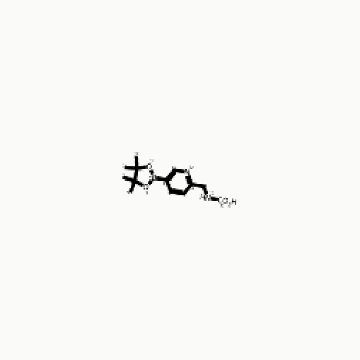 CC1(C)OB(c2ccc(CNC(=O)O)nc2)OC1(C)C